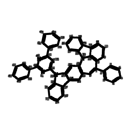 C1=C(c2ccccc2)c2cccc3c4ccccc4n(c23)-c2cc3c(cc21)c1ccccc1n3-c1nc(-c2ccccc2)nc(-c2ccccc2)n1